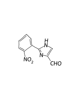 O=Cc1c[nH]c(-c2ccccc2[N+](=O)[O-])n1